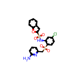 Nc1cccc(CS(=O)(=O)c2ccc(Cl)cc2NS(=O)(=O)c2cc3ccccc3o2)n1